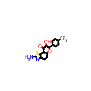 Nc1nc2ccc3oc(-c4ccc(C(F)(F)F)cc4)c(O)c(=O)c3c2s1